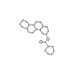 O=C(Oc1ccc2ccc3c4ccccc4ccc3c2c1)c1ccccc1